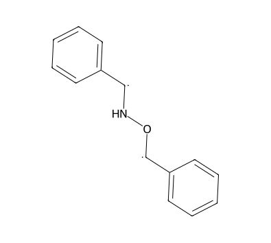 [CH](NO[CH]c1ccccc1)c1ccccc1